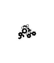 C=Cc1c(/C=C\C)cccc1C1=C=C(Cl)/C=C2\C/C(=C\1)OCCC(=O)N2CC1CN(C(c2ccccc2)c2ccccc2)C1